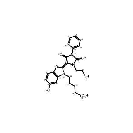 O=C1C(=C2Oc3ccc(Cl)cc3N2CCCCS(=O)(=O)O)N(CCO)C(=S)N1c1ccccn1